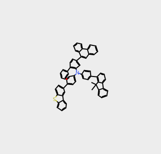 CC1(C)c2ccccc2-c2cccc(-c3ccc(N(c4ccc(-c5ccc6sc7ccccc7c6c5)cc4)c4cc(-c5cc6ccccc6c6ccccc56)ccc4-c4ccccc4)cc3)c21